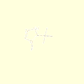 CC(C)(C)C1NN=CN1F